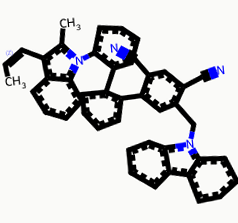 C/C=C\c1c(C)n(-c2ccccc2-c2ccccc2-c2cc(Cn3c4ccccc4c4ccccc43)c(C#N)cc2C#N)c2ccccc12